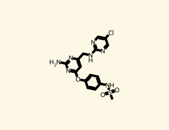 CS(=O)(=O)Nc1ccc(Oc2cc(CNc3ncc(Cl)cn3)nc(N)n2)cc1